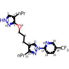 CCCc1c[nH]nc1OCCCc1cn(-c2ccc(C(F)(F)F)cn2)nc1CCC